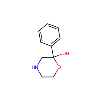 OC1(c2ccccc2)CNCCO1